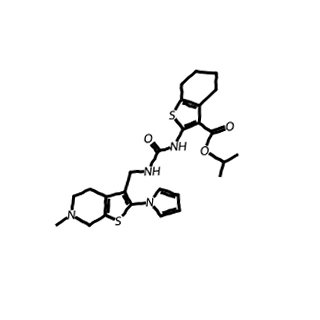 CC(C)OC(=O)c1c(NC(=O)NCc2c(-n3cccc3)sc3c2CCN(C)C3)sc2c1CCCC2